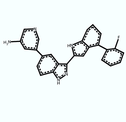 Nc1cncc(-c2ccc3[nH]nc(-c4cc5c(-c6ccccc6F)cccc5[nH]4)c3c2)c1